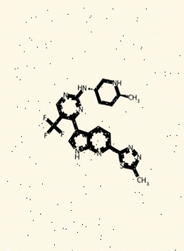 Cc1nnc(-c2ccc3c(-c4nc(N[C@H]5CC[C@H](C)NC5)ncc4C(F)(F)F)c[nH]c3n2)s1